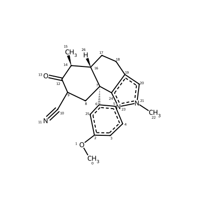 COc1cccc([C@]23CC(C#N)C(=O)[C@@H](C)[C@@H]2CCc2cn(C)nc23)c1